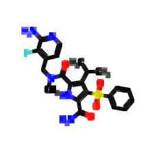 CC(C)c1c(C(=O)N(C)Cc2ccnc(N)c2F)[nH]c(C(N)=O)c1S(=O)(=O)c1ccccc1